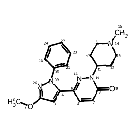 COc1cc(-c2ccc(=O)n(C3CCN(C)CC3)n2)n(-c2ccccc2)n1